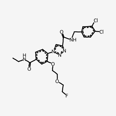 CCNC(=O)c1ccc(-n2cc(C(=O)NCc3ccc(Cl)c(Cl)c3)nn2)c(OCCOCCF)c1